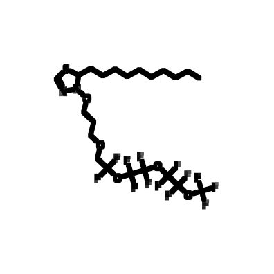 CCCCCCCCCCC1SC=NN1OCCCOCC(F)(F)OC(F)(F)C(F)(F)OC(F)(F)C(F)(F)OC(F)(F)F